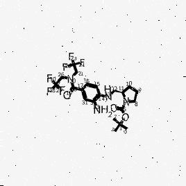 CC(C)(C)OC(=O)N1CCC[C@@H]1CNc1ccc(C(=O)N(CC(F)(F)F)CC(F)(F)F)cc1N